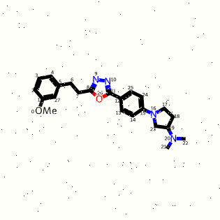 COc1cccc(CCc2nnc(-c3ccc(N4CCC(N(C)C)C4)cc3)o2)c1